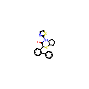 O=C(Nc1nccs1)C(SC1CCCC1)c1ccccc1-c1ccccc1